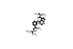 CC(C)N/N=C(\N)c1cccc(Nc2ncnn3ccc(C(=O)N(C)C)c23)c1